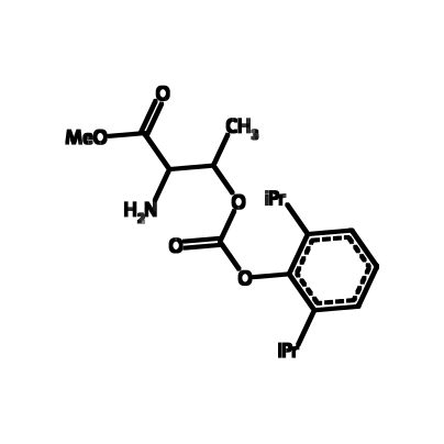 COC(=O)C(N)C(C)OC(=O)Oc1c(C(C)C)cccc1C(C)C